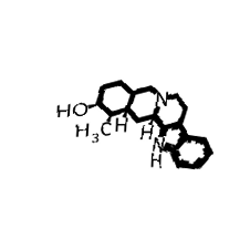 C[C@H]1[C@@H](O)CCC2CN3CCc4c([nH]c5ccccc45)[C@@H]3C[C@@H]21